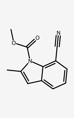 COC(=O)n1c(C)cc2cccc(C#N)c21